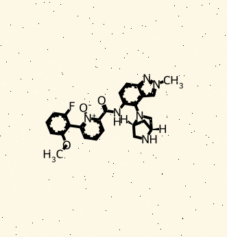 COc1cccc(F)c1-c1cccc(C(=O)Nc2ccc3nn(C)cc3c2N2C[C@H]3C[C@@H]2CN3)[n+]1[O-]